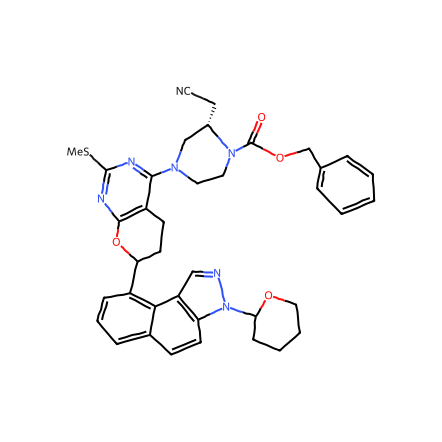 CSc1nc2c(c(N3CCN(C(=O)OCc4ccccc4)[C@@H](CC#N)C3)n1)CCC(c1cccc3ccc4c(cnn4C4CCCCO4)c13)O2